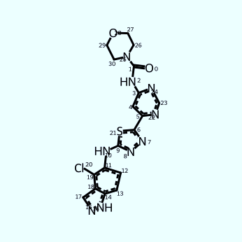 O=C(Nc1cc(-c2nnc(Nc3ccc4[nH]ncc4c3Cl)s2)ncn1)N1CCOCC1